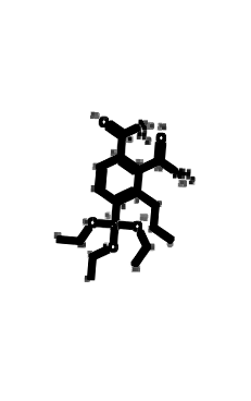 CCCc1c([Si](OCC)(OCC)OCC)ccc(C(N)=O)c1C(N)=O